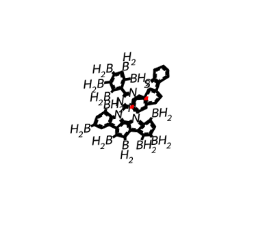 Bc1cc(B)c2c(c1)c1c(B)c(B)c3c4c(B)c(B)cc(B)c4n(-c4ccccc4)c3c1n2-c1nc(-c2c(B)c(B)c(B)c(B)c2B)nc(-c2cccc3c2sc2ccccc23)n1